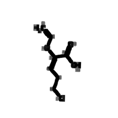 C=COC(=CCCCl)C(=O)O